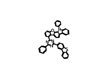 c1ccc(-c2nc(-c3ccc4sc5ccccc5c4c3)nc(-c3cccc4oc5c(ccc6c7ccccc7n(-c7ccccc7)c65)c34)n2)cc1